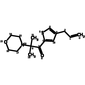 C=CCc1csc(C(=O)C(C)(C)N2CCOCC2)c1